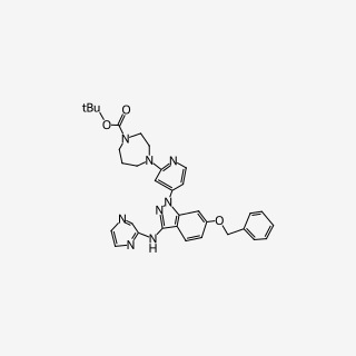 CC(C)(C)OC(=O)N1CCCN(c2cc(-n3nc(Nc4cnccn4)c4ccc(OCc5ccccc5)cc43)ccn2)CC1